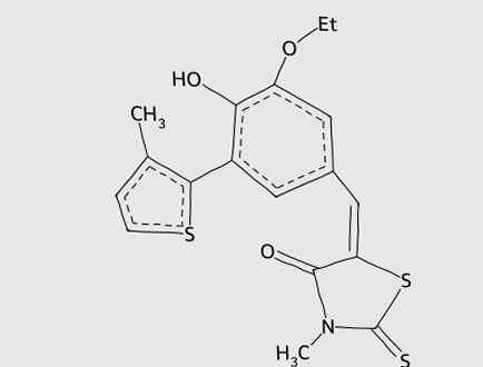 CCOc1cc(C=C2SC(=S)N(C)C2=O)cc(-c2sccc2C)c1O